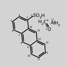 C=O.O=S(=O)(O)c1cccc2cc3ccccc3cc12.[AlH3]